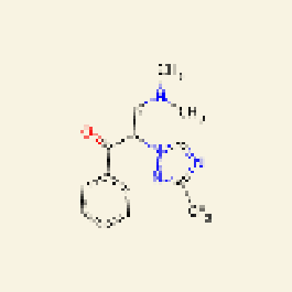 CN(C)C=C(C(=O)c1ccccc1)n1cnc(C(F)(F)F)n1